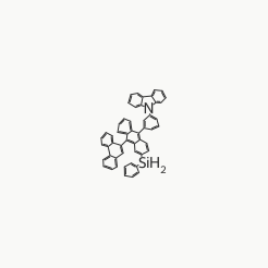 c1ccc([SiH2]c2ccc3c(-c4cccc(-n5c6ccccc6c6ccccc65)c4)c4ccccc4c(-c4cc5ccccc5c5ccccc45)c3c2)cc1